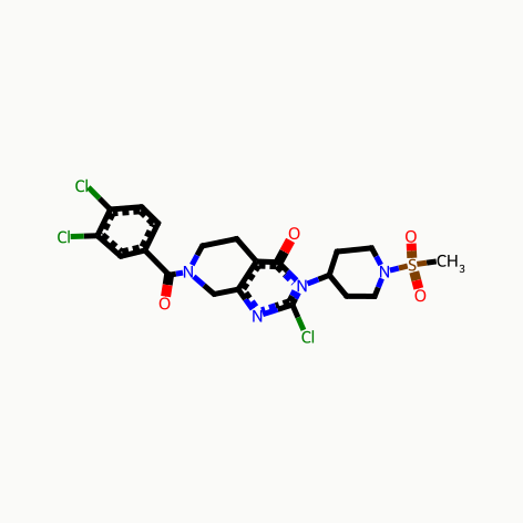 CS(=O)(=O)N1CCC(n2c(Cl)nc3c(c2=O)CCN(C(=O)c2ccc(Cl)c(Cl)c2)C3)CC1